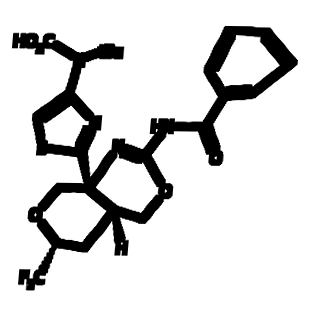 CC(C)(C)N(C(=O)O)c1csc([C@]23CO[C@@H](C(F)(F)F)C[C@H]2COC(NC(=O)c2ccccc2)=N3)n1